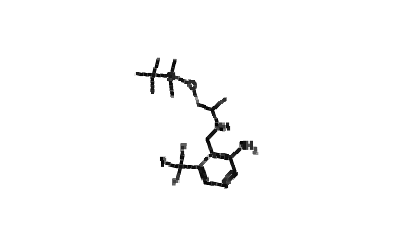 CC(CO[Si](C)(C)C(C)(C)C)NCc1c(N)cccc1C(F)(F)F